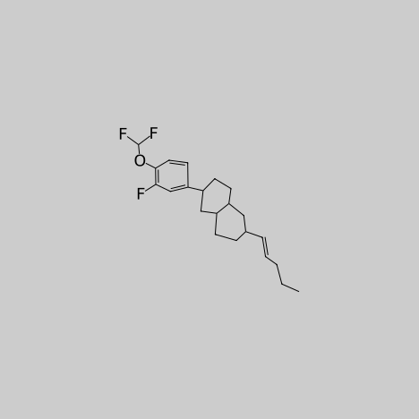 CCCC=CC1CCC2CC(c3ccc(OC(F)F)c(F)c3)CCC2C1